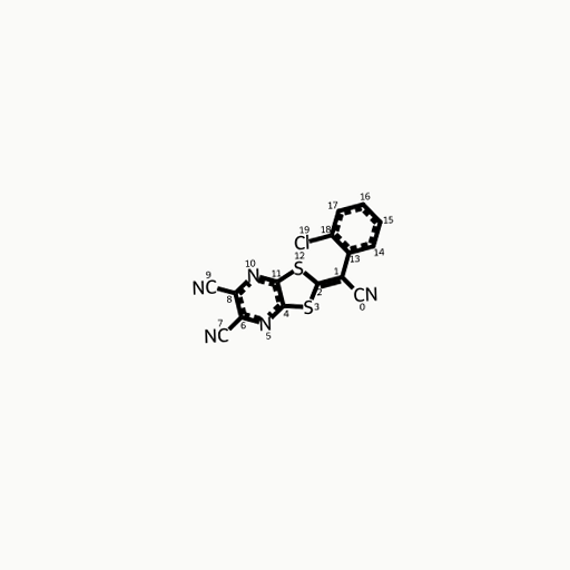 N#CC(=C1Sc2nc(C#N)c(C#N)nc2S1)c1ccccc1Cl